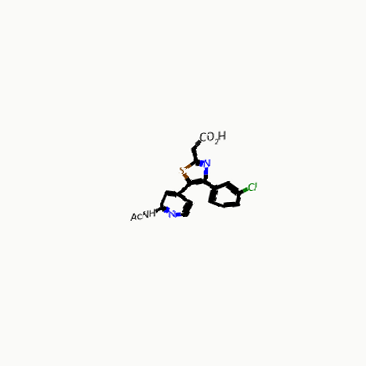 CC(=O)Nc1cc(-c2sc(CC(=O)O)nc2-c2cccc(Cl)c2)ccn1